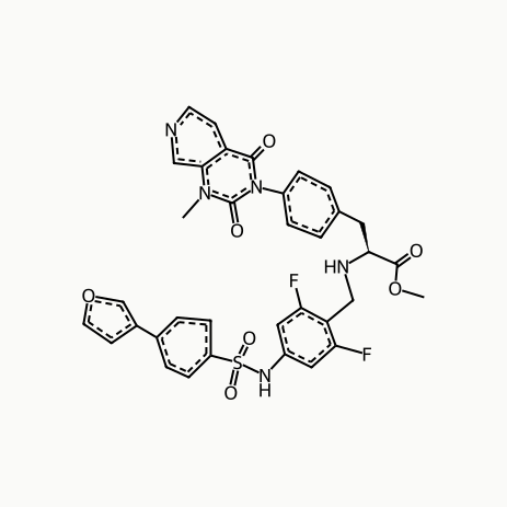 COC(=O)[C@H](Cc1ccc(-n2c(=O)c3ccncc3n(C)c2=O)cc1)NCc1c(F)cc(NS(=O)(=O)c2ccc(-c3ccoc3)cc2)cc1F